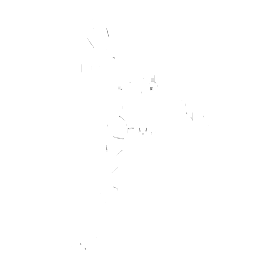 COc1cc(/C=C/C(=O)OCCCCO[N+](=O)[O-])ccc1OC(=O)OCC(=O)[C@@]1(OC(=O)CCCO[N+](=O)[O-])[C@H](O)CC2C3CCC4=CC(=O)C=C[C@]4(C)[C@@]3(F)[C@@H](O)C[C@@]21C